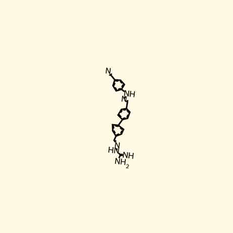 N#Cc1ccc(N/N=C/c2ccc(-c3ccc(/C=N/NC(=N)N)cc3)cc2)cc1